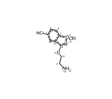 Cl.N#Cc1ccc2onc(OCCN)c2c1